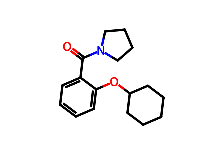 O=C(c1ccccc1OC1CCCCC1)N1CCCC1